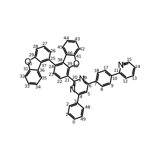 c1ccc(-c2cc(-c3ccc(-c4ccccn4)cc3)nc(-c3ccc(-c4cccc5oc6ccccc6c45)c4c3oc3ccccc34)n2)cc1